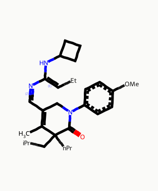 CC/C=C(/N=C\C1=C(C)C(CCC)(CC(C)C)C(=O)N(c2ccc(OC)cc2)C1)NC1CCC1